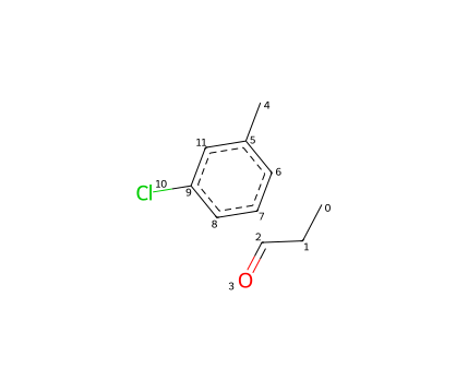 CCC=O.Cc1cccc(Cl)c1